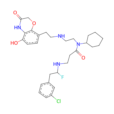 O=C1COc2c(CCNCCN(C(=O)CCNC(F)Cc3cccc(Cl)c3)C3CCCCC3)ccc(O)c2N1